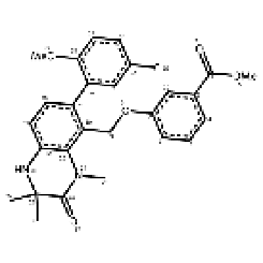 COC(=O)c1cccc(OCc2c(-c3cc(Cl)ccc3OC)ccc3c2N(C)C(=O)C(C)(C)N3)c1